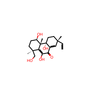 C=C[C@]1(C)C=C2C(=O)C(O)=C3[C@@](C)(CO)CC[C@@H](O)[C@]3(C)[C@@]2(O)CC1